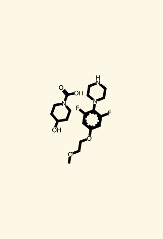 COCCOc1cc(F)c(N2CCNCC2)c(F)c1.O=C(O)N1CCC(O)CC1